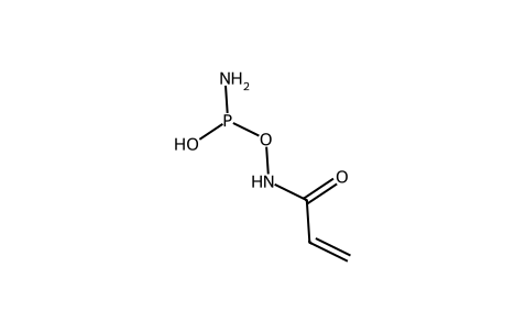 C=CC(=O)NOP(N)O